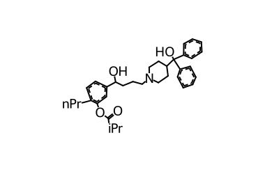 CCCc1ccc(C(O)CCCN2CCC(C(O)(c3ccccc3)c3ccccc3)CC2)cc1OC(=O)C(C)C